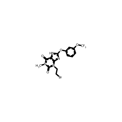 Cn1c(=O)c2[nH]c(Oc3cccc(OC(F)(F)F)c3)nc2n(CCBr)c1=O